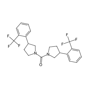 O=C(N1CCC(c2ccccc2C(F)(F)F)C1)N1CCC(c2ccccc2C(F)(F)F)C1